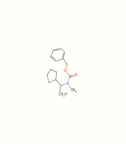 CN(C(=O)OCc1ccccc1)C(C(=O)O)C1CCCC1